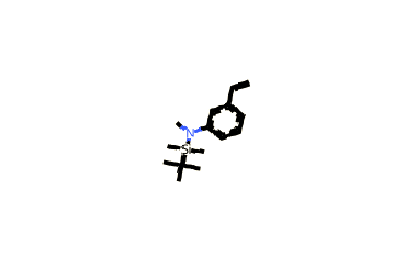 C=Cc1cccc(N(C)[Si](C)(C)C(C)(C)C)c1